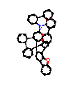 c1ccc(-c2ccccc2N(c2ccc3c(c2)-c2ccccc2-c2ccccc2C32c3ccccc3-c3c2ccc2c3oc3ccccc32)c2ccccc2-c2ccccc2)cc1